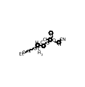 CCOC/C=N/CCCOc1cccc(-c2cccc(COc3cc(OCc4cncc(C#N)c4)c(CN4CCCCC4)cc3Cl)c2C)c1C